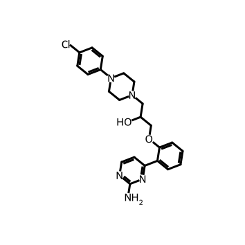 Nc1nccc(-c2ccccc2OCC(O)CN2CCN(c3ccc(Cl)cc3)CC2)n1